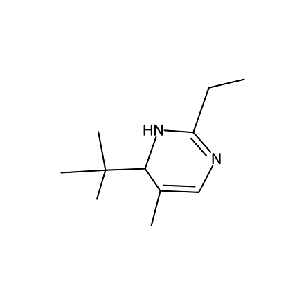 CCC1=NC=C(C)C(C(C)(C)C)N1